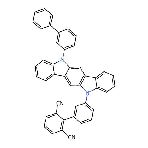 N#Cc1cccc(C#N)c1-c1cccc(-n2c3ccccc3c3cc4c(cc32)c2ccccc2n4-c2cccc(-c3ccccc3)c2)c1